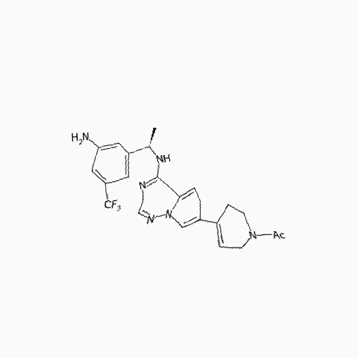 CC(=O)N1CC=C(c2cc3c(N[C@H](C)c4cc(N)cc(C(F)(F)F)c4)ncnn3c2)CC1